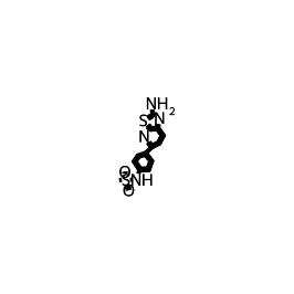 CS(=O)(=O)Nc1ccc(-c2ccc3nc(N)sc3n2)cc1